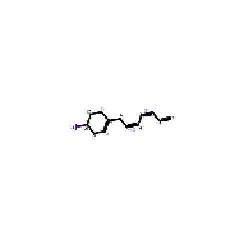 C=C/C=C\C=C/CC1=CCC(I)CC1